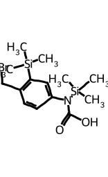 C[Si](C)(C)c1cc(N(C(=O)O)[Si](C)(C)C)ccc1CBr